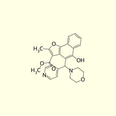 COC(=O)c1c(C)oc2c1c(C(c1ccncc1)N1CCOCC1)c(O)c1ccccc12